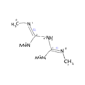 C/N=C(\NC)N/C(=N/C)NC